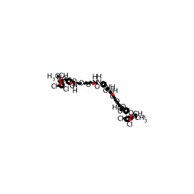 CN(C)C1Cc2c(Cl)cc(Cl)cc2[C@@H]1Oc1ccc(S(=O)(=O)NCCOCCOCCNC(=O)Nc2ccc(NC(=O)NCCOCCOCCNS(=O)(=O)c3ccc(O[C@H]4c5cc(Cl)cc(Cl)c5C[C@@H]4N(C)C)cc3)cc2)cc1